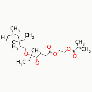 C=C(C)C(=O)OCCOC(=O)CCC(=O)C(C)(CC)OCCC(C)(CC)CC(C)C